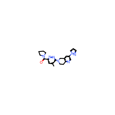 Cc1cc(C(=O)N2CCCC2)nnc1N1CCc2ncc(-n3cccn3)cc2C1